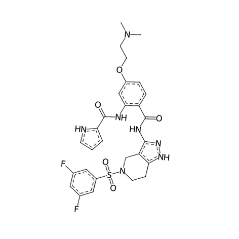 CN(C)CCOc1ccc(C(=O)Nc2n[nH]c3c2CN(S(=O)(=O)c2cc(F)cc(F)c2)CC3)c(NC(=O)c2ccc[nH]2)c1